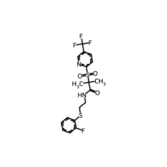 CC(C)(C(=O)NCCSc1ccccc1F)S(=O)(=O)c1ccc(C(F)(F)F)cn1